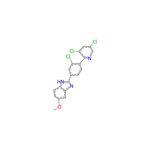 COc1ccc2[nH]c(-c3ccc(-c4ncc(Cl)cc4Cl)c(Cl)c3)nc2c1